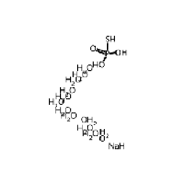 O.O.O.O.O.O.O.O.O.O.O.O.O=P(O)(O)S.[NaH]